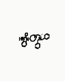 C[C@@H](CN1CCCC(n2c(=O)[nH]c3ccccc32)CC1)N(Cc1ccccc1)Cc1ccccc1